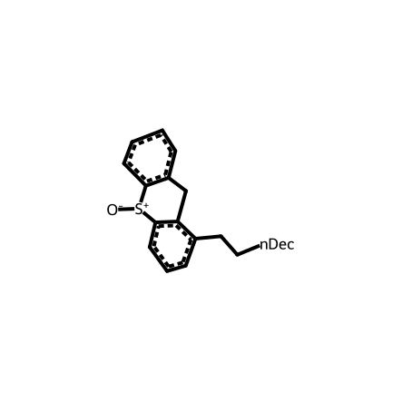 CCCCCCCCCCCCc1cccc2c1Cc1ccccc1[S+]2[O-]